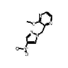 COc1nccnc1Cn1cc([N+](=O)[O-])cn1